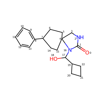 O=C1NCC2(CCC(c3ccccc3)CC2)N1C(O)C1CCC1